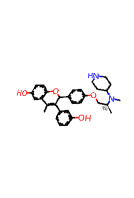 CC1=C(c2cccc(O)c2)C(c2ccc(OC[C@H](C)N(C)C3CCNCC3)cc2)Oc2ccc(O)cc21